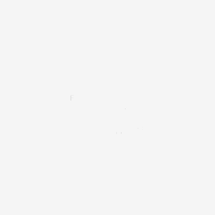 O=S1(=O)CCCC1CF